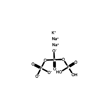 O=P([O-])([O-])OP(=O)([O-])OP(=O)(O)O.[K+].[Na+].[Na+]